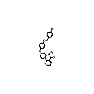 CC(C)OC(=O)c1cccnc1N1CCN(Cc2ccc(OCc3ccc(Br)cc3)cc2)CC1